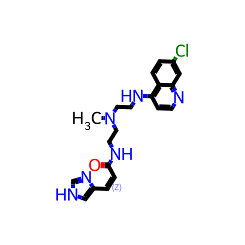 CN(CCNC(=O)/C=C\c1c[nH]cn1)CCNc1ccnc2cc(Cl)ccc12